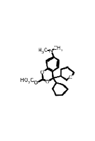 CN(C)c1ccc2c(c1)OC(OC(=O)O)OC2(C1CCCCC1)C1CCCCC1